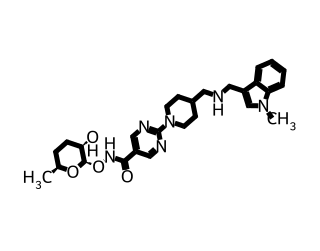 C[C@H]1CC[C@H](O)[C@H](ONC(=O)c2cnc(N3CCC(CNCc4cn(C)c5ccccc45)CC3)nc2)O1